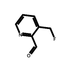 O=Cc1ncccc1CF